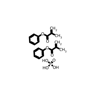 C=C(C)C(=O)Oc1ccccc1.C=C(C)C(=O)Oc1ccccc1.O=P(O)(O)O